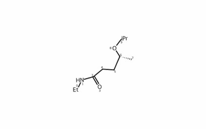 CCNC(=O)CC[C@@H](C)OC(C)C